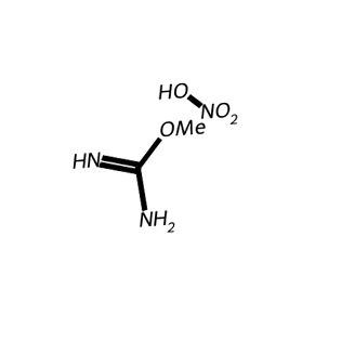 COC(=N)N.O=[N+]([O-])O